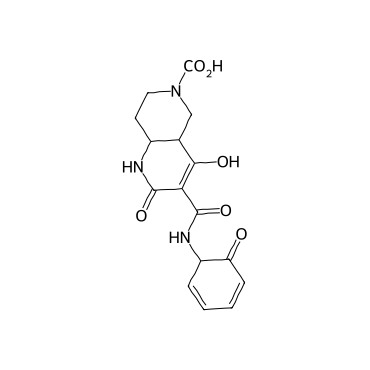 O=C(NC1C=CC=CC1=O)C1=C(O)C2CN(C(=O)O)CCC2NC1=O